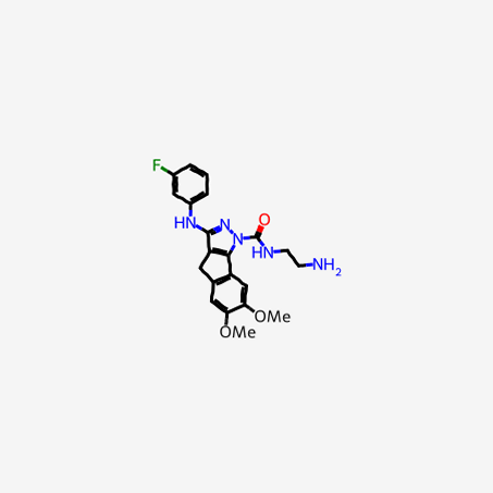 COc1cc2c(cc1OC)-c1c(c(Nc3cccc(F)c3)nn1C(=O)NCCN)C2